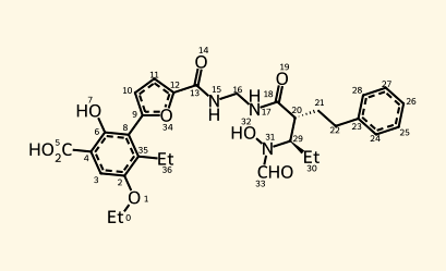 CCOc1cc(C(=O)O)c(O)c(-c2ccc(C(=O)NCNC(=O)[C@H](CCc3ccccc3)[C@@H](CC)N(O)C=O)o2)c1CC